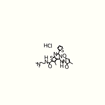 CC1=CC(=O)N(Nc2nc(-c3cccs3)nc3sc(C(=O)NCCN(C)C)c(C)c23)C1=O.Cl